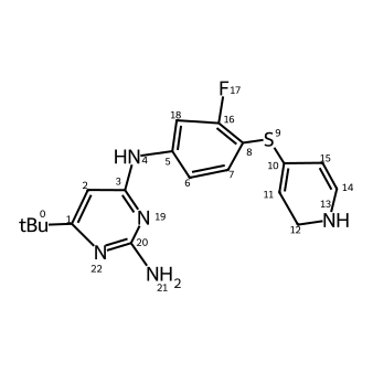 CC(C)(C)c1cc(Nc2ccc(SC3=CCNC=C3)c(F)c2)nc(N)n1